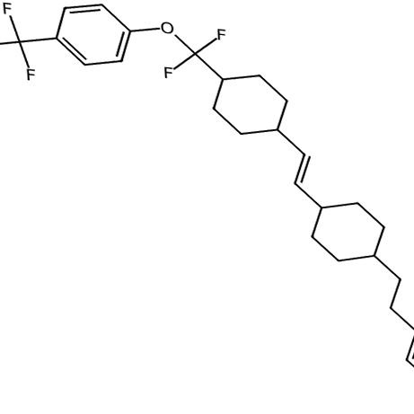 C/C=C/CCC1CCC(/C=C/C2CCC(C(F)(F)Oc3ccc(C(F)(F)F)cc3)CC2)CC1